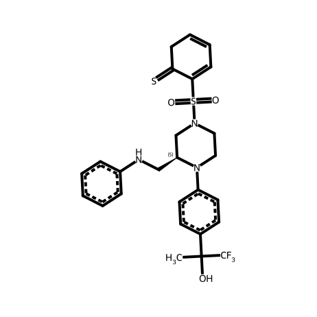 CC(O)(c1ccc(N2CCN(S(=O)(=O)C3=CC=CCC3=S)C[C@@H]2CNc2ccccc2)cc1)C(F)(F)F